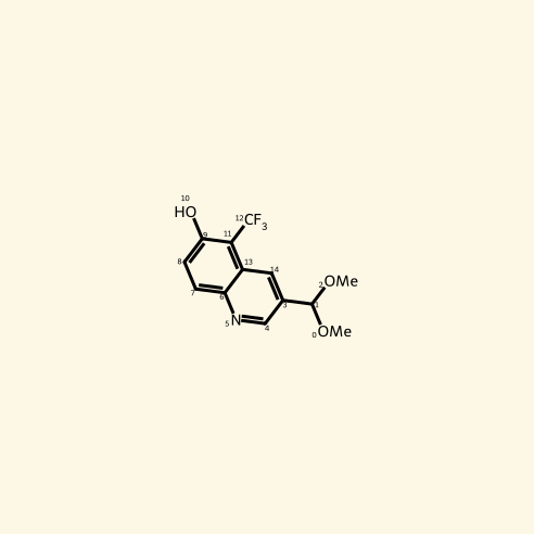 COC(OC)c1cnc2ccc(O)c(C(F)(F)F)c2c1